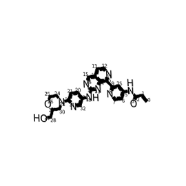 C=CC(=O)Nc1ccnc(-c2nccc3cnc(Nc4ccc(N5CCOC(CO)C5)nc4)nc23)c1